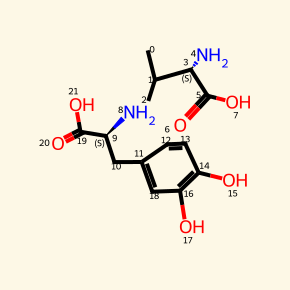 CC(C)[C@H](N)C(=O)O.N[C@@H](Cc1ccc(O)c(O)c1)C(=O)O